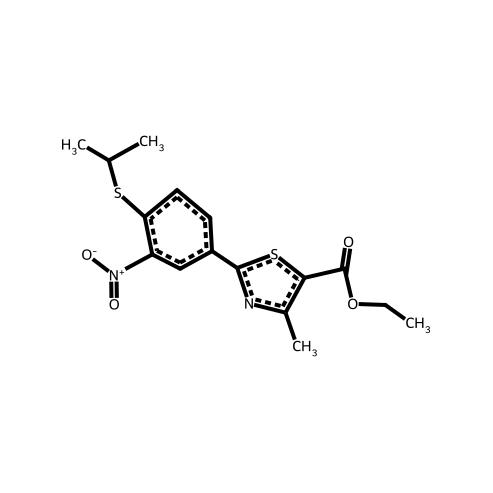 CCOC(=O)c1sc(-c2ccc(SC(C)C)c([N+](=O)[O-])c2)nc1C